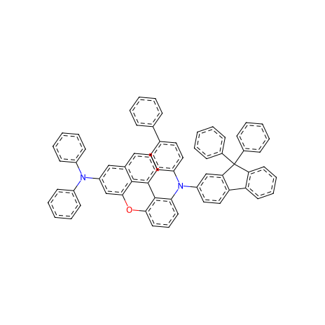 c1ccc(-c2ccc(N(c3ccc4c(c3)C(c3ccccc3)(c3ccccc3)c3ccccc3-4)c3cccc4c3-c3cccc5cc(N(c6ccccc6)c6ccccc6)cc(c35)O4)cc2)cc1